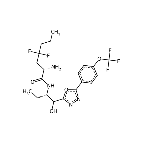 CCCC(F)(F)C[C@H](N)C(=O)N[C@@H](CC)C(O)c1nnc(-c2ccc(OC(F)(F)F)cc2)o1